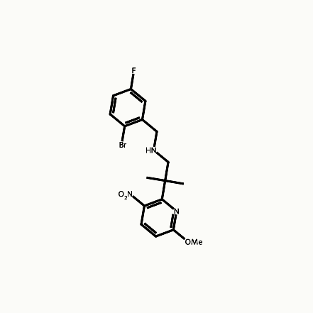 COc1ccc([N+](=O)[O-])c(C(C)(C)CNCc2cc(F)ccc2Br)n1